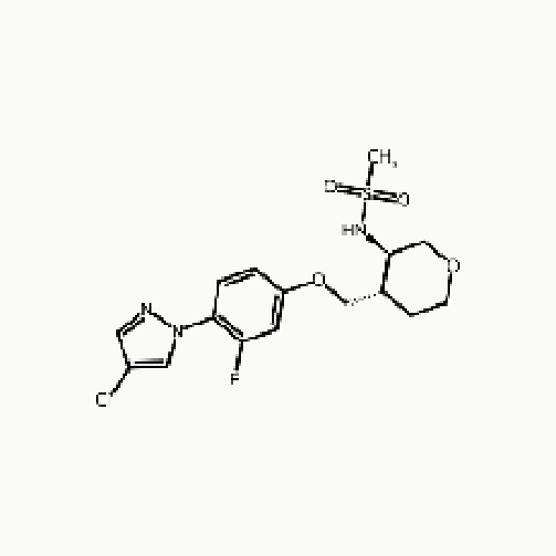 CS(=O)(=O)N[C@H]1COCC[C@@H]1COc1ccc(-n2cc(Cl)cn2)c(F)c1